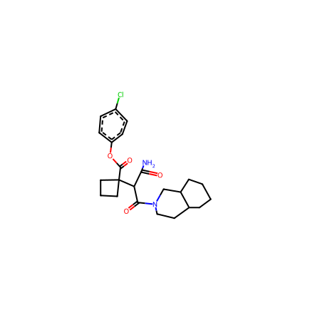 NC(=O)C(C(=O)N1CCC2CCCCC2C1)C1(C(=O)Oc2ccc(Cl)cc2)CCC1